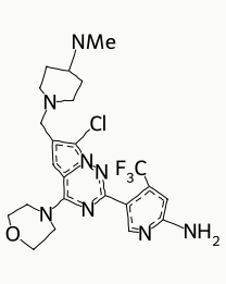 CNC1CCN(Cc2cc3c(N4CCOCC4)nc(-c4cnc(N)cc4C(F)(F)F)nn3c2Cl)CC1